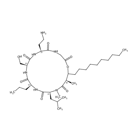 CCCCCCCCCCC1OC(=O)CNC(=O)[C@H](CCN)NC(=O)[C@H](CO)NC(=O)[C@H](CCC)NC(=O)[C@H](CC(C)C)N(C)C(=O)[C@@H]1C